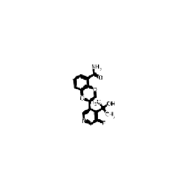 CC(C)(O)c1c(F)cncc1C1COc2c(cccc2C(N)=O)O1